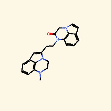 CN1CCn2c(CCN3C(=O)Cn4ccc5cccc3c54)cc3cccc1c32